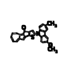 COc1ccc2c(c1)c1cc(C)ccc1n2-c1cc2c(s1)-c1cc3cccccc-3c1C2=O